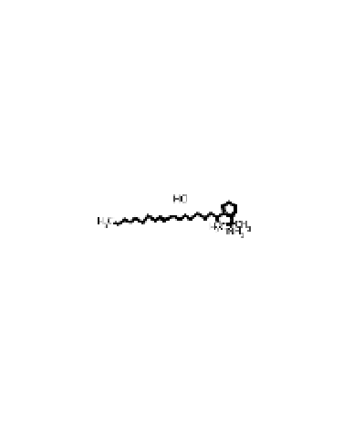 CCCCCCCCC=CCCCCCCCC(=O)c1ccccc1C(C)(C)N.Cl